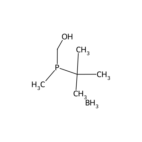 B.CP(CO)C(C)(C)C